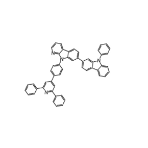 c1ccc(-c2cc(-c3ccc(-n4c5cc(-c6ccc7c8ccccc8n(-c8ccccc8)c7c6)ccc5c5cccnc54)cc3)cc(-c3ccccc3)n2)cc1